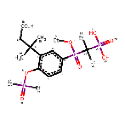 CCOP(=O)(c1ccc(OP(=O)(CC)CC)c(C(C)(C)CC(=O)O)c1)C(CC)(CC)P(=O)(O)O